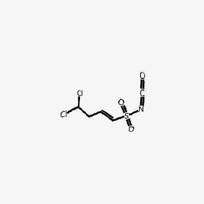 O=C=NS(=O)(=O)C=CCC(Cl)Cl